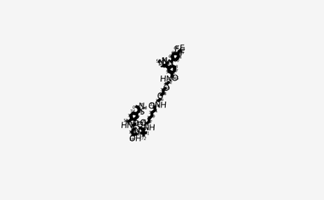 Cc1ncsc1-c1ccc([C@H](C)NC(=O)[C@@H]2C[C@@H](O)CN2C(=O)[C@@H](NC(=O)CCCCCC(=O)NCCOCCOCCNC(=O)c2ccc3c(c2)c2cn(C)nc2n3-c2ccc(C(F)(F)F)cc2)C(C)(C)C)cc1